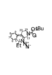 CCC(N=[N+]=[N-])c1ccccc1C1=CCN(C(=O)OC(C)(C)C)CC1